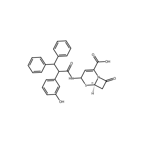 O=C(O)C1=CC(NC(=O)C(c2cccc(O)c2)C(c2ccccc2)c2ccccc2)S[C@@H]2CC(=O)N12